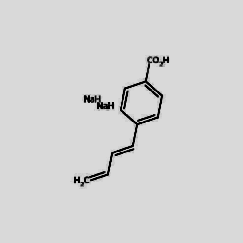 C=CC=Cc1ccc(C(=O)O)cc1.[NaH].[NaH]